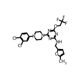 Cc1ccc(CNc2nc(OCC(F)(F)F)nc(N3CCN(c4ccc(Cl)c(Cl)c4)CC3)n2)o1